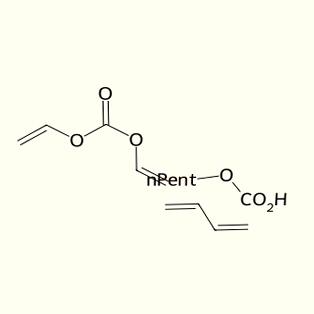 C=CC=C.C=COC(=O)OC=C.CCCCCOC(=O)O